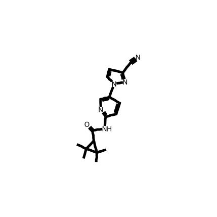 CC1(C)C(C(=O)Nc2ccc(-n3ccc(C#N)n3)cn2)C1(C)C